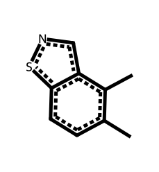 Cc1ccc2sncc2c1C